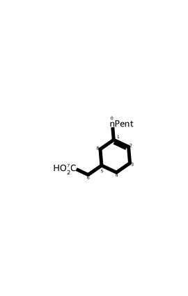 CCCCCC1=CCCC(CC(=O)O)C1